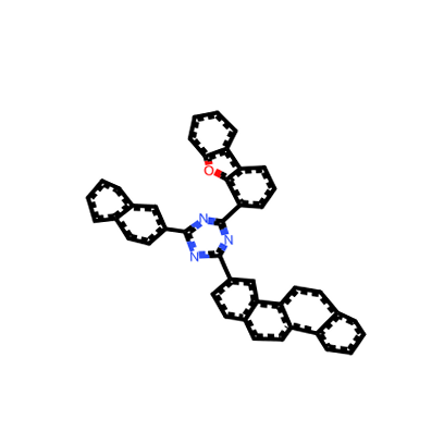 c1ccc2cc(-c3nc(-c4ccc5ccc6c7ccccc7ccc6c5c4)nc(-c4cccc5c4oc4ccccc45)n3)ccc2c1